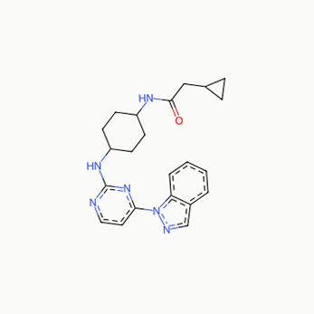 O=C(CC1CC1)NC1CCC(Nc2nccc(-n3ncc4ccccc43)n2)CC1